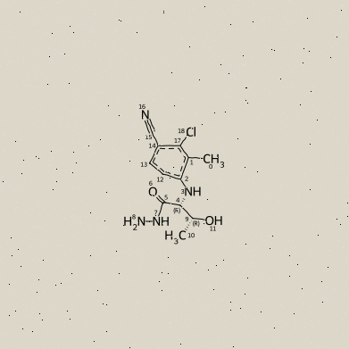 Cc1c(N[C@@H](C(=O)NN)[C@@H](C)O)ccc(C#N)c1Cl